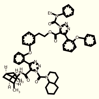 CCN(C(=O)n1nnc(-c2ccccc2Oc2ccccc2)c1C(=O)OCCc1cccc(Oc2ccccc2-c2nnn(C(=O)N3CCCC4CCCCC43)c2C(=O)N[C@H]2C[C@@H]3C[C@H]([C@@H]2C)C3(C)C)c1)c1ccccc1